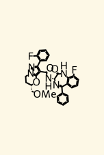 COC[C@@H]1CCn2nc(-c3ccccc3F)c(C(=O)N[C@H]3N=C(c4ccccc4)c4cccc(F)c4NC3=O)c2O1